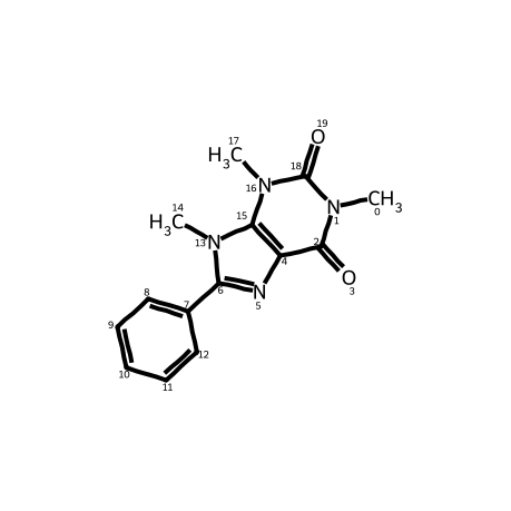 Cn1c(=O)c2nc(-c3ccccc3)n(C)c2n(C)c1=O